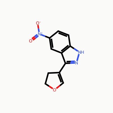 O=[N+]([O-])c1ccc2[nH]nc(C3=COCC3)c2c1